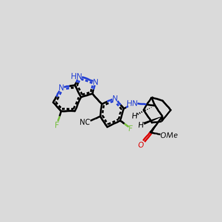 COC(=O)[C@H]1C2CCC(CC2)[C@@H]1Nc1nc(-c2n[nH]c3ncc(F)cc23)c(C#N)cc1F